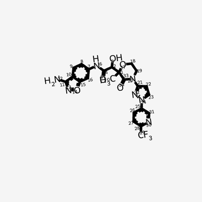 CC1(C(O)C(=O)Nc2ccc3c(N)noc3c2)OCCN(c2ccn(-c3ccc(C(F)(F)F)nc3)n2)C1=O